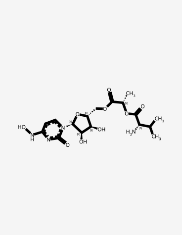 CC(C)[C@H](N)C(=O)O[C@@H](C)C(=O)OC[C@H]1O[C@@H](n2ccc(NO)nc2=O)[C@H](O)[C@@H]1O